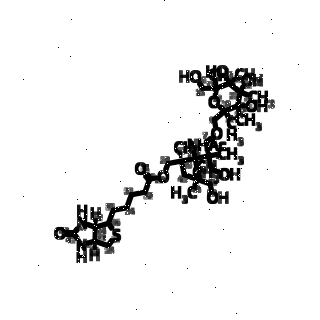 CC(=O)NC(C)(C(C)(CO)COCC1(C)OC(C)(CO)[C@](C)(O)C(C)(O)C1(C)O)[C@](C)(COC(=O)CCCCC1SC[C@@H]2NC(=O)N[C@H]12)CC(C)(C)CO